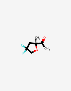 CC(=O)[C@@]1(C)CC(F)(F)CO1